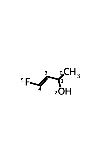 CC(O)C=CF